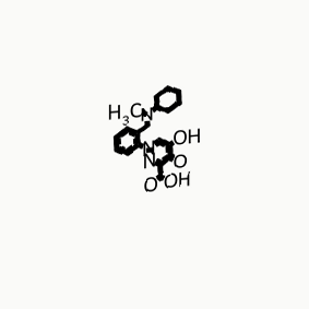 CN(Cc1ccccc1-n1cc(O)c(=O)c(C(=O)O)n1)C1CCCCC1